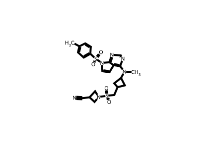 Cc1ccc(S(=O)(=O)n2ccc3c(N(C)C4CC(CS(=O)(=O)N5CC(C#N)C5)C4)ncnc32)cc1